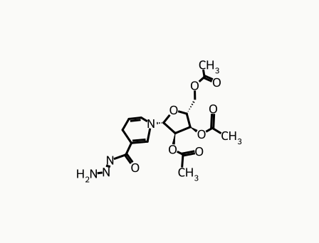 CC(=O)OC[C@H]1O[C@@H](N2C=CCC(C(=O)N=NN)=C2)[C@H](OC(C)=O)[C@@H]1OC(C)=O